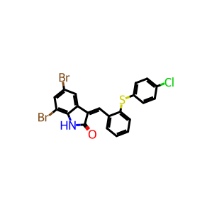 O=C1Nc2c(Br)cc(Br)cc2C1=Cc1ccccc1Sc1ccc(Cl)cc1